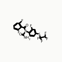 NC(=O)N(C(=O)c1c(F)cccc1F)c1ccc(SC(F)(F)C(F)F)cc1F